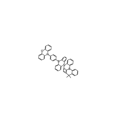 CC1(C)c2ccccc2B2c3ccccc3[Si]3(c4ccccc4B(c4ccc(N5c6ccccc6Oc6ccccc65)cc4)c4ccccc43)c3cccc1c32